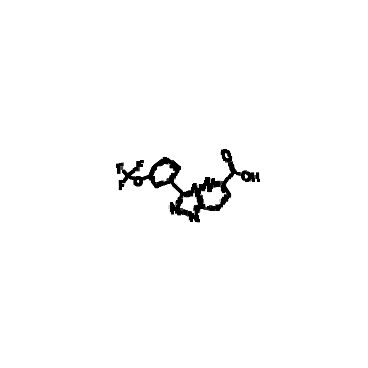 O=C(O)c1ccc2nnc(-c3cccc(OC(F)(F)F)c3)n2n1